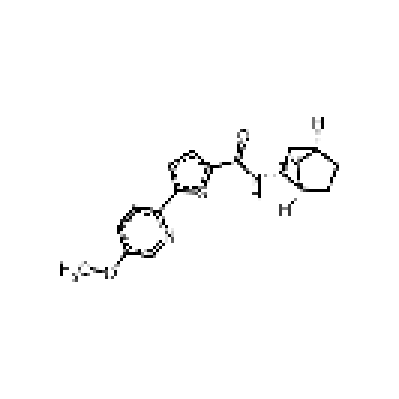 COc1ccc(-c2ccc(C(=O)N[C@@H]3C[C@H]4CC[C@@H]3N4)s2)nc1